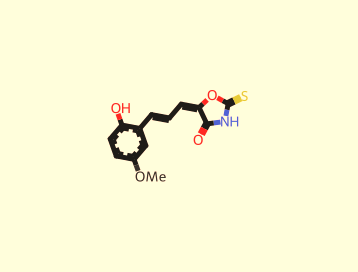 COc1ccc(O)c(C=CC=C2OC(=S)NC2=O)c1